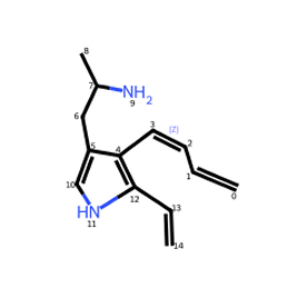 C=C/C=C\c1c(CC(C)N)c[nH]c1C=C